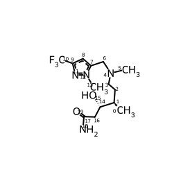 C[C@H](CCN(C)Cc1cc(C(F)(F)F)nn1C)[C@@H](O)CC(N)=O